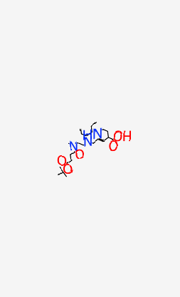 CCCC(CC)N(CCN(C)C(=O)CCC(=O)OC(C)(C)C)CC1=CC(C(=O)O)CCN1